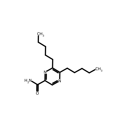 CCCCCc1ncc(C(N)=O)nc1CCCCC